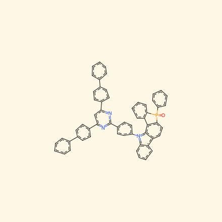 O=P1(c2ccccc2)c2ccccc2-c2c1ccc1c3ccccc3n(-c3ccc(-c4nc(-c5ccc(-c6ccccc6)cc5)cc(-c5ccc(-c6ccccc6)cc5)n4)cc3)c21